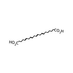 O=C(O)CCCC=CCC=CCC=CCC=CCCCCCC(=O)O